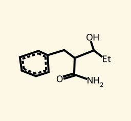 CCC(O)C(Cc1ccccc1)C(N)=O